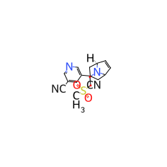 CS(=O)(=O)CCN1C2C=C[C@@H]1CC(C#N)(c1cncc(C#N)c1)C2